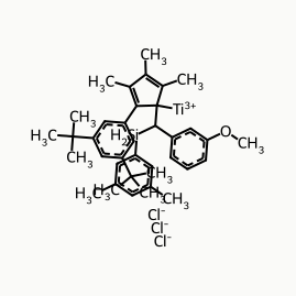 COc1cccc(C([SiH2]c2cc(C)cc(C)c2)[C]2([Ti+3])C(C)=C(C)C(C)=C2c2cc(C(C)(C)C)cc(C(C)(C)C)c2)c1.[Cl-].[Cl-].[Cl-]